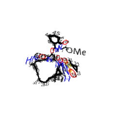 COCCn1nc(O[C@@H]2C[C@H]3C(=O)N[C@]4(C(=O)NS(=O)(=O)C5(C)CC5)C[C@H]4C=CCC[C@H](C)C[C@@H](C)[C@H](NC(=O)O)C(=O)N3C2)c2ccccc2c1=O